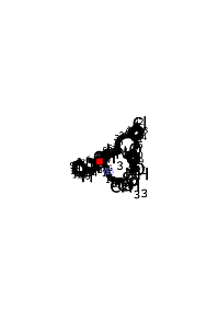 CO[C@]1(CN2CCN3CCCCC[C@H]3C2)/C=C/C[C@H](C)[C@@H](C)S(=O)(=O)NC(=O)c2ccc3c(c2)N(CCCCc2cc(Cl)ccc2CO3)C[C@@H]2CC[C@H]21